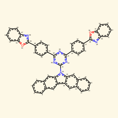 c1ccc2cc3c(cc2c1)c1cc2ccccc2cc1n3-c1nc(-c2ccc(-c3nc4ccccc4o3)cc2)nc(-c2ccc(-c3nc4ccccc4o3)cc2)n1